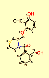 O=Cc1c(O)cccc1OC[C@@H]1CSCCN1C(=O)c1ccccc1CO